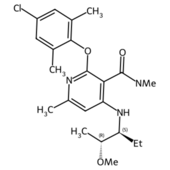 CC[C@H](Nc1cc(C)nc(Oc2c(C)cc(Cl)cc2C)c1C(=O)NC)[C@@H](C)OC